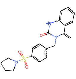 C=C1c2ccccc2NC(=O)N1Cc1ccc(S(=O)(=O)N2CCCC2)cc1